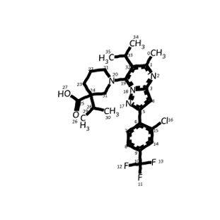 Cc1nc2cc(-c3ccc(C(F)(F)F)cc3Cl)nn2c(N2CCCC(C(=O)O)(C(C)C)C2)c1C(C)C